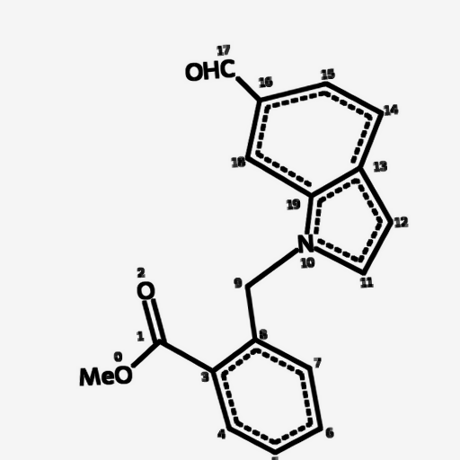 COC(=O)c1ccccc1Cn1ccc2ccc(C=O)cc21